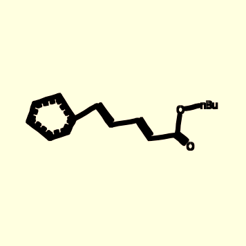 CCCCOC(=O)C=CC=Cc1ccccc1